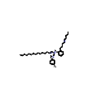 CCCC/C=C/CCCc1ccccc1/N=C(/C=C/CCCCCCCCCCCCC)\C=N\c1ccccc1.[Ni]